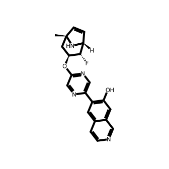 C[C@@]12C=C[C@@H](N1)[C@H](F)[C@@H](Oc1cnc(-c3cc4ccncc4cc3O)cn1)C2